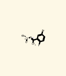 CC(C)(C)[S@@+]([O-])/N=C(/c1cc(Br)ccc1F)C(F)(F)F